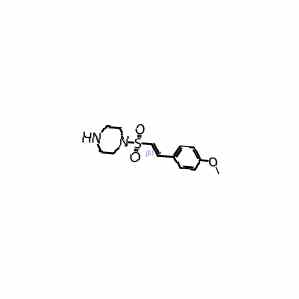 COc1ccc(/C=C/S(=O)(=O)N2CCNCC2)cc1